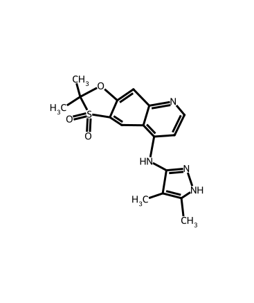 Cc1[nH]nc(Nc2ccnc3cc4c(cc23)S(=O)(=O)C(C)(C)O4)c1C